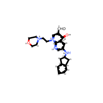 O=Cc1cn(CCN2CCOCC2)c2ncc(NC3Cc4ccccc4C3)cc2c1=O